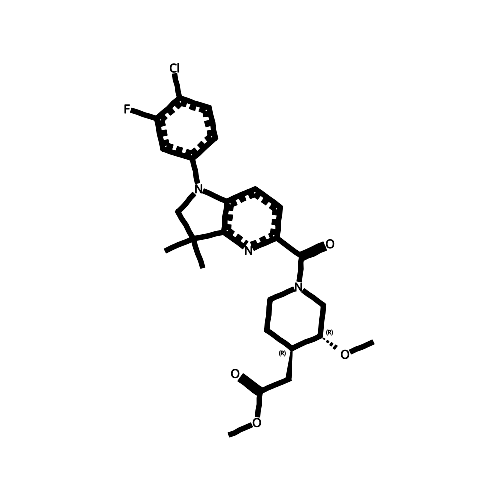 COC(=O)C[C@H]1CCN(C(=O)c2ccc3c(n2)C(C)(C)CN3c2ccc(Cl)c(F)c2)C[C@@H]1OC